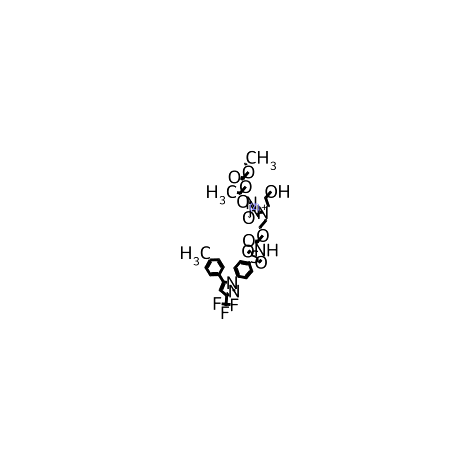 CCOC(=O)OC(C)O/N=[N+](\[O-])N(CCO)CCOC(=O)NS(=O)(=O)c1ccc(-n2nc(C(F)(F)F)cc2-c2ccc(C)cc2)cc1